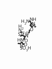 CC1C(NC(=O)C(=NOCCOc2cc(C(=N)N)nn2C)c2csc(N)n2)C(=O)N1S(=O)(=O)O